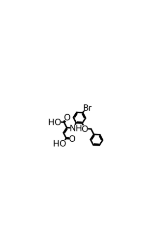 O=C(O)/C=C(\Nc1ccc(Br)cc1OCc1ccccc1)C(=O)O